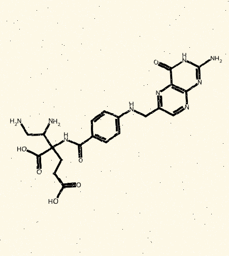 NCC(N)C(CCC(=O)O)(NC(=O)c1ccc(NCc2cnc3nc(N)[nH]c(=O)c3n2)cc1)C(=O)O